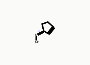 O/N=C1\C#CCC1